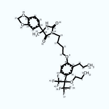 CCCOC(c1ccc(OCCCCN2C(=O)NC(C)(c3ccc4c(c3)OCO4)C2=O)c(CCC)c1)(C(F)(F)F)C(F)(F)F